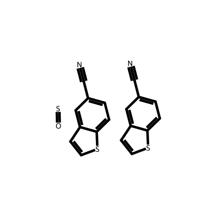 N#Cc1ccc2sccc2c1.N#Cc1ccc2sccc2c1.O=S